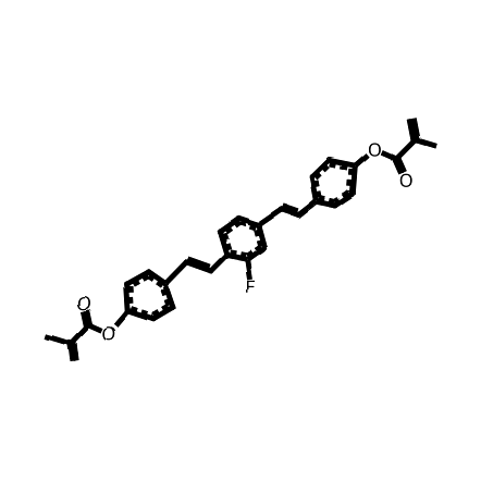 C=C(C)C(=O)Oc1ccc(C=Cc2ccc(C=Cc3ccc(OC(=O)C(=C)C)cc3)c(F)c2)cc1